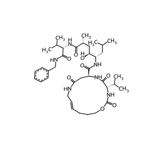 CC(C)C[C@H](NC(=O)[C@@H]1CC(=O)NC/C=C/CCCOC(=O)N[C@@H](C(C)C)C(=O)N1)[C@@H](O)C[C@@H](C)C(=O)N[C@H](C(=O)NCc1ccccc1)C(C)C